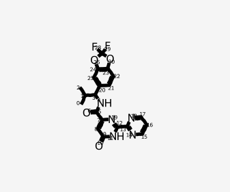 CC(C)C(NC(=O)c1cc(=O)[nH]c(-c2ncccn2)n1)c1ccc2c(c1)OC(F)(F)O2